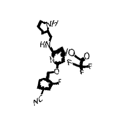 N#Cc1ccc(COc2cccc(NCC3CCCN3)n2)c(F)c1.O=C(O)C(F)(F)F